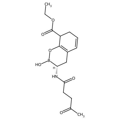 CCOC(=O)C1CC=CC2=C1OB(O)[C@@H](NC(=O)CCC(C)=O)C2